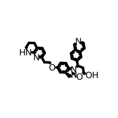 O=C(O)CC(c1ccc2cnccc2c1)n1ncc2cc(OCCc3ccc4c(n3)NCCC4)ccc21